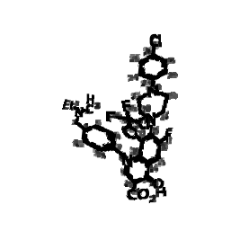 CCN(C)Cc1ccc(-n2cc(C(=O)O)c(=O)c3cc(F)c(N4CCN(c5ccc(Cl)cc5)CC4)c(OC(F)(F)Cl)c32)cc1